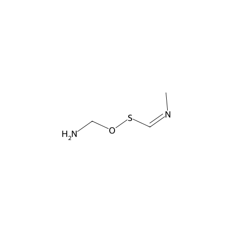 C/N=C\SOCN